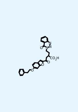 O=C(CC(CCn1nnc2ccccc2c1=O)C(=O)O)c1cc2ccc(OCCc3ccccc3)cc2o1